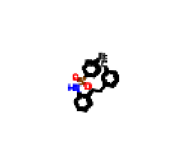 CCc1ccc(S(=O)(=O)Nc2ccccc2CCc2cccc(C(=O)O)c2)cc1